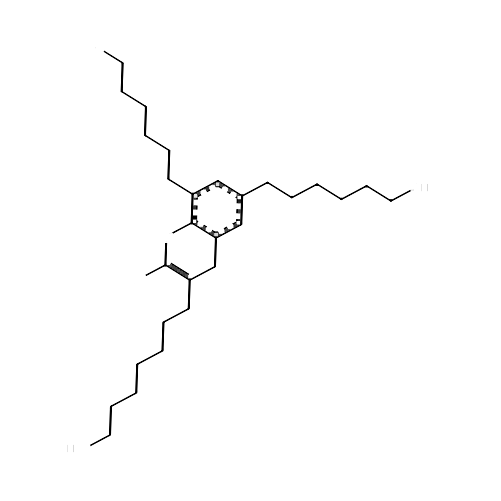 CCCCCCCCC1=C(C)Oc2c(CCCCCCC)cc(CCCCCCC)cc2C1